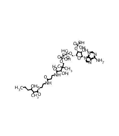 CCCC(O)C(C)C(=O)SCCNC(=O)CCNC(=O)[C@H](O)C(C)(C)COP(=O)(O)OP(=O)(O)OC[C@H]1O[C@@H](n2cnc3c(N)ncnc32)[C@H](O)[C@@H]1OP(=O)(O)O